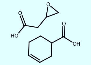 O=C(O)C1CC=CCC1.O=C(O)CC1CO1